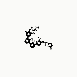 COc1cc(-c2nccc(-c3cccc(-c4ccc(CNC[C@H]5CCC(=O)N5)c(OC)n4)c3Cl)c2Cl)cc(C)c1CN(C)C[C@H](C)O